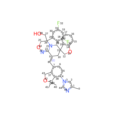 Cc1cn(-c2ccc(/C=C3\CC4(COc5ccccc54)CN4C3=NOCC4(CO)c3cc(F)cc(F)c3)c3c2[Si](C)(C)OC3)cn1